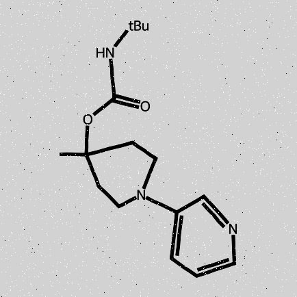 CC(C)(C)NC(=O)OC1(C)CCN(c2cccnc2)CC1